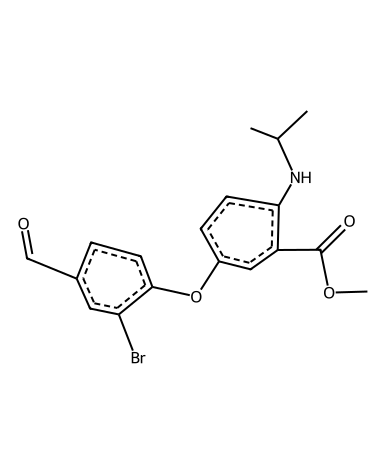 COC(=O)c1cc(Oc2ccc(C=O)cc2Br)ccc1NC(C)C